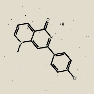 Cn1cccc2c(=O)nc(-c3ccc(Br)cc3)cc1-2.I